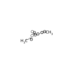 CCCCC(=O)[C@H]1CC[C@](C(=O)Oc2ccc(-c3ccc(OCC)cc3)cc2)(C2CCCCC2)CC1